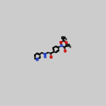 CC(=O)ON(C(C)=O)c1ccc(C(=O)CNCc2cccnc2)cc1